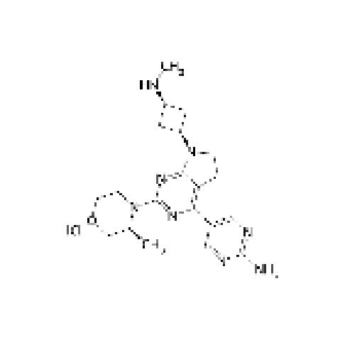 CN[C@H]1C[C@@H](N2CCc3c(-c4cnc(N)nc4)nc(N4CCOC[C@@H]4C)nc32)C1.Cl